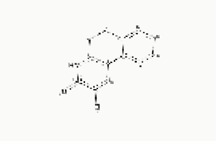 O=c1[nH]c2c(cc1Cl)-c1ccccc1CC2